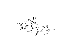 Cc1nc2ccc(NC(=O)C3CCN(I)CC3)c(C(F)(F)F)c2[nH]1